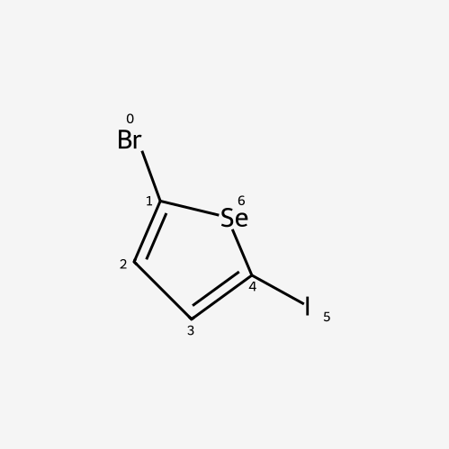 Brc1ccc(I)[se]1